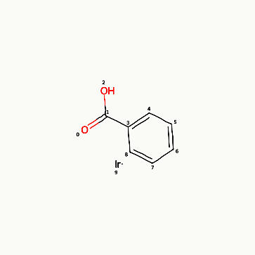 O=C(O)c1ccccc1.[Ir]